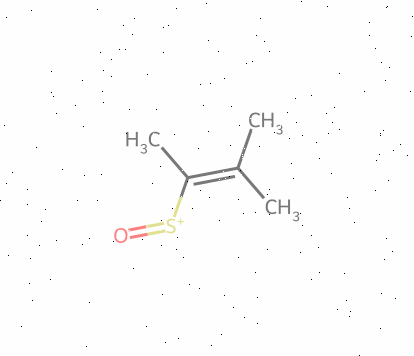 CC(C)=C(C)[S+]=O